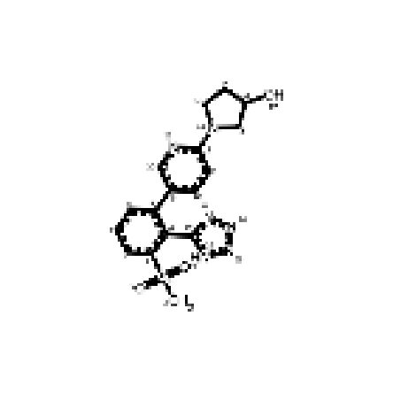 CS(=O)(=O)c1cccc(-c2ccc(N3CCC(O)C3)nc2)c1-c1nnn[nH]1